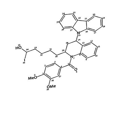 COc1ccc(C(=O)N2c3ccccc3C(n3c4ccccc4c4ccccc43)CC2CCCCC(O)I)cc1OC